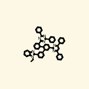 CCn1c(-c2cccc(-c3cc(-c4nc(-c5ccccc5)cc(-c5ccccc5)n4)ccc3-c3ccccc3-c3nc(-c4ccccc4)nc(-c4ccccc4)n3)c2)nc2ccccc21